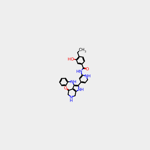 CCc1ccc(C(=O)NC2=CC(c3[nH]c4c(c3Nc3ccccc3)C(=O)CNC4)=CCN2)cc1O